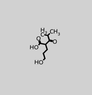 CC(C)C(=O)C(CCCO)C(=O)O